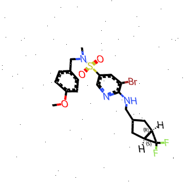 COc1ccc(CN(C)S(=O)(=O)c2cnc(NCC3C[C@@H]4[C@H](C3)C4(F)F)c(Br)c2)cc1